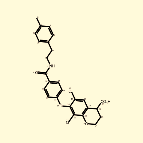 Cc1ccc(CCNC(=O)c2ccc(Oc3c(Cl)cc4c(c3Cl)OCCC4C(=O)O)cc2)cc1